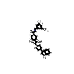 O=C(/C=C/c1cc(C(F)(F)F)cc(C(F)(F)F)c1)N1CCC(O)(C(O)CN2CCC(c3c[nH]c4ccccc34)CC2)CC1